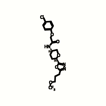 O=C(COc1ccc(Cl)cc1)N[C@H]1CC[C@H](c2nnc(CCCOC(F)(F)F)o2)OC1